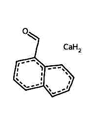 O=Cc1cccc2ccccc12.[CaH2]